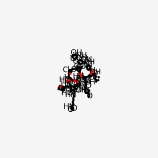 CC[C@H](CC(C)C)C(=O)N[C@H]1C(=O)C[C@@H](CC(=O)NC(=O)Nc2ccc(OC)cc2)C(=O)N[C@H]2C(=O)C[C@H]3C(=O)N[C@H](C(=O)N[C@H](C(=O)CC4C5CC6CC(C5)CC4C6)c4cc(O)c(CNCCCCCNS(C)(=O)=O)c(O)c4-c4cc3ccc4O)[C@H](O)c3ccc(c(Cl)c3)Oc3cc2cc(c3O[C@@H]2O[C@H](CO)[C@@H](O)[C@H](O)[C@H]2O[C@H]2C[C@](C)(N)[C@H](O)[C@H](C)O2)Oc2ccc(cc2Cl)[C@H]1O